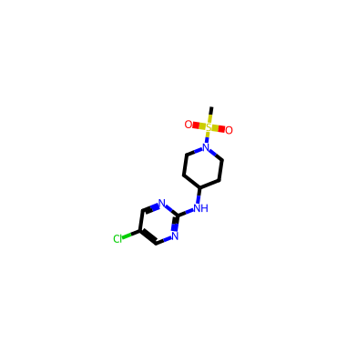 CS(=O)(=O)N1CCC(Nc2ncc(Cl)cn2)CC1